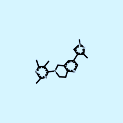 Cc1nc(C)c(C)c(N2CCc3ncc(-c4cn(C)nc4C)cc3C2)n1